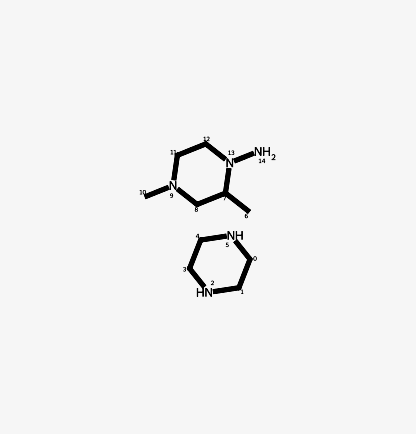 C1CNCCN1.CC1CN(C)CCN1N